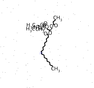 CCCCCCCC/C=C\CCCCCCCC(=O)O[C@H](COC(=O)CCC)COP(=O)(O)OCC[N+](C)(C)C